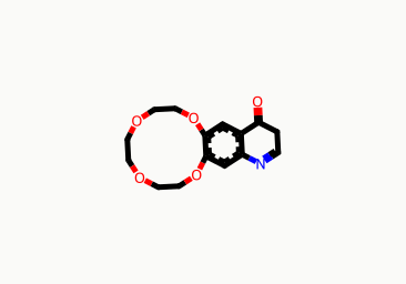 O=C1CC=Nc2cc3c(cc21)OCCOCCOCCO3